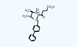 C=C(OCC)[C@H](C)C[C@@H](Cc1ccc(-c2ccccc2)cc1)NC(=O)CCC(=O)O